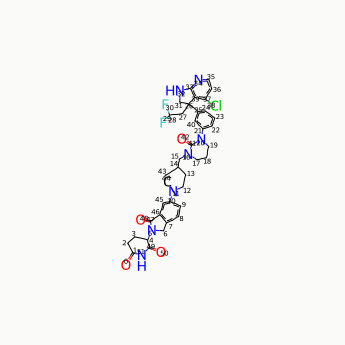 O=C1CCC(N2Cc3ccc(N4CCC(CN5CCCN(c6cccc(C7(CC(F)F)CNc8nccc(Cl)c87)c6)C5=O)CC4)cc3C2=O)C(=O)N1